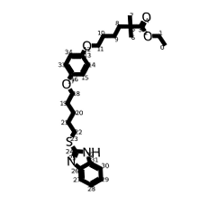 CCOC(=O)C(C)(C)CCCCOc1ccc(OCCCCCSc2nc3ccccc3[nH]2)cc1